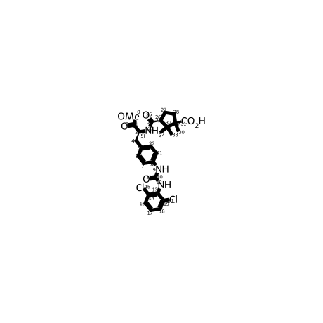 COC(=O)[C@H](Cc1ccc(NC(=O)Nc2c(Cl)cccc2Cl)cc1)NC(=O)[C@H]1CC[C@@](C)(C(=O)O)C1(C)C